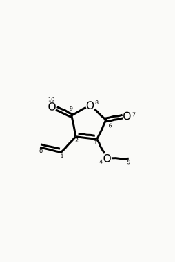 C=CC1=C(OC)C(=O)OC1=O